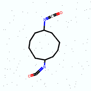 O=C=NC1CCCCC(N=C=O)CCCC1